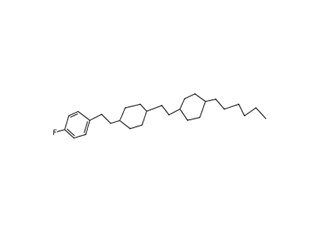 CCCCCCC1CCC(CCC2CCC(CCc3ccc(F)cc3)CC2)CC1